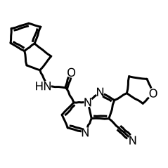 N#Cc1c(C2CCOC2)nn2c(C(=O)NC3Cc4ccccc4C3)ccnc12